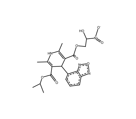 CC1=C(C(=O)OCC(O)[N+](=O)[O-])C(c2cccc3nonc23)C(C(=O)OC(C)C)=C(C)N1